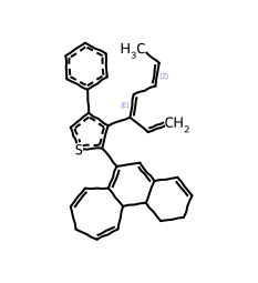 C=C/C(=C\C=C/C)c1c(-c2ccccc2)csc1C1=C2C=CCC=CC2C2CCC=CC2=C1